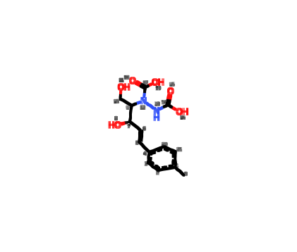 Cc1ccc(/C=C/[C@@H](O)C(CO)N(NC(=O)O)C(=O)O)cc1